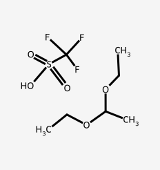 CCOC(C)OCC.O=S(=O)(O)C(F)(F)F